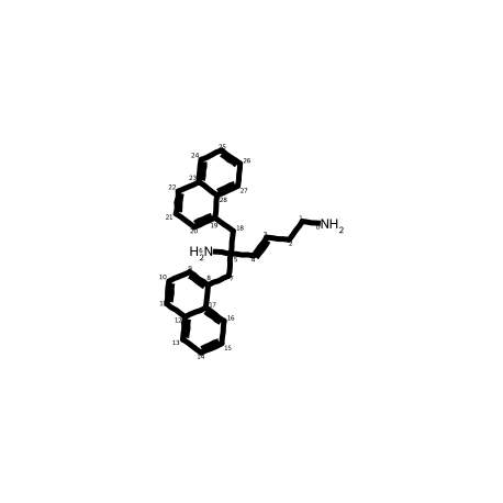 NCCC=CC(N)(Cc1cccc2ccccc12)Cc1cccc2ccccc12